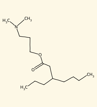 CCCCC(CCC)CC(=O)OCCCN(C)C